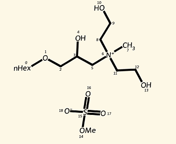 CCCCCCOCC(O)C[N+](C)(CCO)CCO.COS(=O)(=O)[O-]